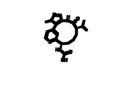 CC(C)[C@H]1CCC[C@H](NC(=O)O)c2cc(ccn2)-c2c(cnn2C)NC1=O